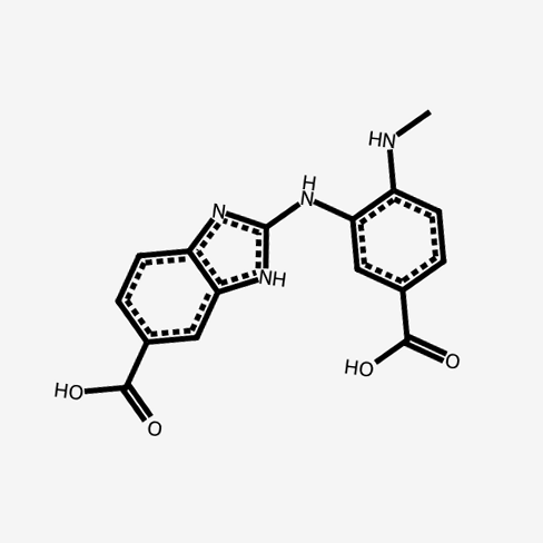 CNc1ccc(C(=O)O)cc1Nc1nc2ccc(C(=O)O)cc2[nH]1